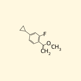 C=C(OC)c1ccc(C2CC2)cc1F